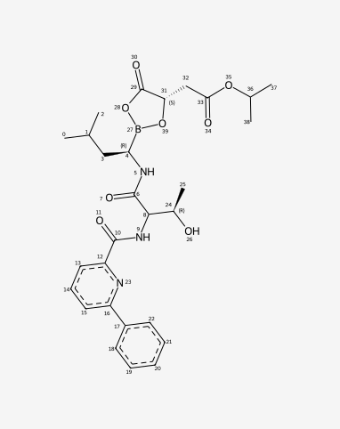 CC(C)C[C@H](NC(=O)C(NC(=O)c1cccc(-c2ccccc2)n1)[C@@H](C)O)B1OC(=O)[C@H](CC(=O)OC(C)C)O1